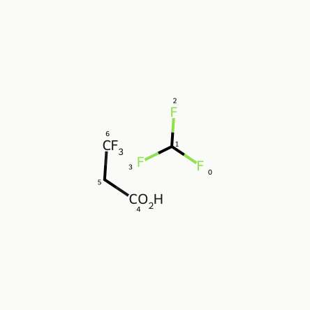 FC(F)F.O=C(O)CC(F)(F)F